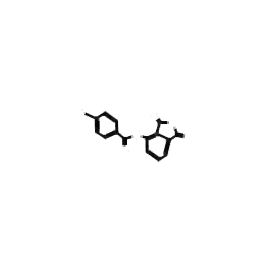 O=C(Oc1cccc2c1C(=O)OC2=O)c1ccc(Cl)cc1